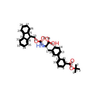 CC(C)(C)OC(=O)c1cccc(-c2cccc(C[C@H](NC(=O)OCC3c4ccccc4-c4ccccc43)C(=O)O)c2)c1